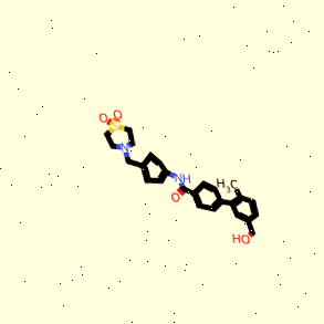 Cc1ccc(CO)cc1-c1ccc(C(=O)Nc2ccc(CN3CCS(=O)(=O)CC3)cc2)cc1